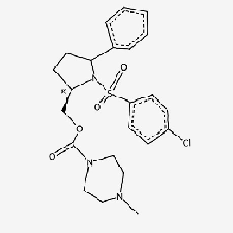 CN1CCN(C(=O)OC[C@H]2CCC(c3ccccc3)N2S(=O)(=O)c2ccc(Cl)cc2)CC1